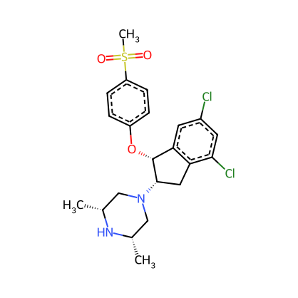 C[C@@H]1CN([C@H]2Cc3c(Cl)cc(Cl)cc3[C@H]2Oc2ccc(S(C)(=O)=O)cc2)C[C@H](C)N1